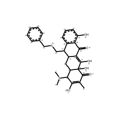 CC1=C(O)C(N(C)C)C2CC3C(=C(O)C2(O)C1=O)C(=O)c1c(O)cccc1C3CSCc1ccccc1